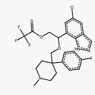 CN1CCC(COC(COC(=O)C(F)(F)F)c2cc(Cl)cc3cn[nH]c23)(c2ccc(F)cc2)CC1